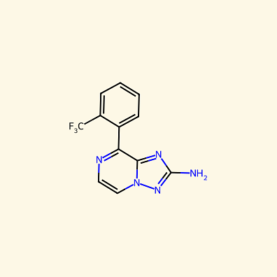 Nc1nc2c(-c3ccccc3C(F)(F)F)nccn2n1